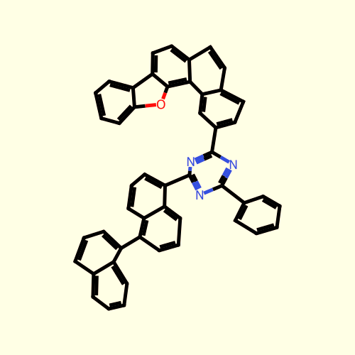 c1ccc(-c2nc(-c3ccc4ccc5ccc6c7ccccc7oc6c5c4c3)nc(-c3cccc4c(-c5cccc6ccccc56)cccc34)n2)cc1